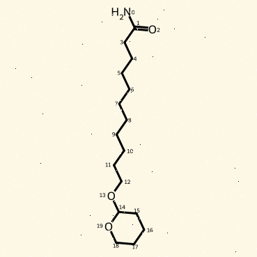 NC(=O)CCCCCCCCCCOC1CCCCO1